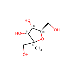 C[C@@]1(CO)O[C@H](CO)[C@@H](O)[C@H]1O